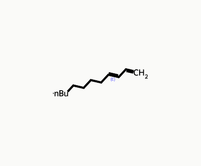 C=C/C=C/CCCC[CH]CCC